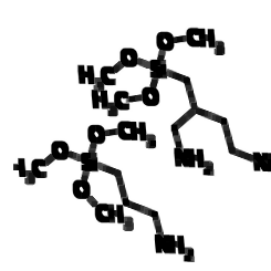 CO[Si](CC(CN)CCN)(OC)OC.CO[Si](CCCN)(OC)OC